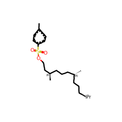 Cc1ccc(S(=O)(=O)OCC[C@H](C)CCC[C@H](C)CCCC(C)C)cc1